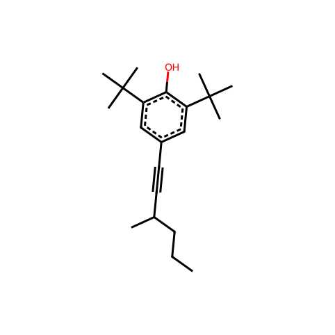 CCCC(C)C#Cc1cc(C(C)(C)C)c(O)c(C(C)(C)C)c1